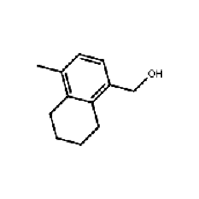 Cc1ccc(CO)c2c1CCCC2